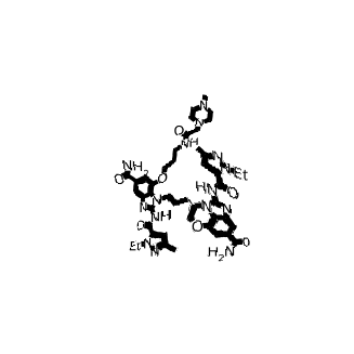 CCn1nc(C)cc1C(=O)Nc1nc2cc(C(N)=O)cc(OCCCNC(=O)CN3CCN(C)CC3)c2n1CCC[C@H]1COc2cc(C(N)=O)cc3nc(NC(=O)c4cc(C)nn4CC)n1c23